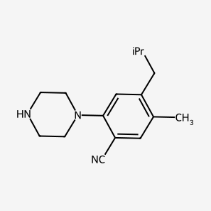 Cc1cc(C#N)c(N2CCNCC2)cc1CC(C)C